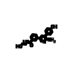 Nc1ncc(-c2cccc(C(=O)NCCO)c2)cc1-c1ccc(O)cc1